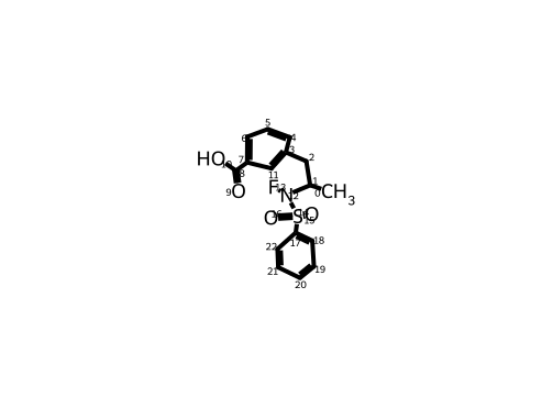 CC(Cc1cccc(C(=O)O)c1)N(F)S(=O)(=O)c1ccccc1